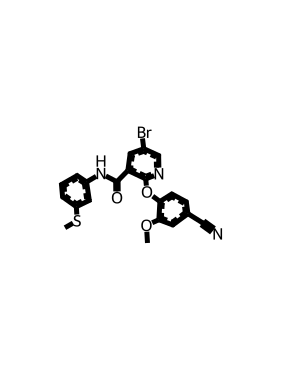 COc1cc(C#N)ccc1Oc1ncc(Br)cc1C(=O)Nc1cccc(SC)c1